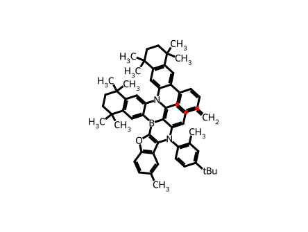 C=Cc1cc2c3c(c1)N(c1ccc(C(C)(C)C)cc1C)c1c(oc4ccc(C)cc14)B3c1cc3c(cc1N2c1cc2c(cc1-c1ccccc1)C(C)(C)CCC2(C)C)C(C)(C)CCC3(C)C